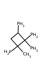 CC1(P)CC(P)C1(P)P